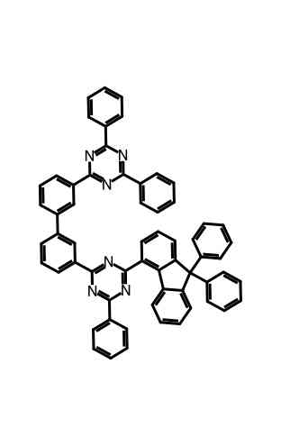 c1ccc(-c2nc(-c3ccccc3)nc(-c3cccc(-c4cccc(-c5nc(-c6ccccc6)nc(-c6cccc7c6-c6ccccc6C7(c6ccccc6)c6ccccc6)n5)c4)c3)n2)cc1